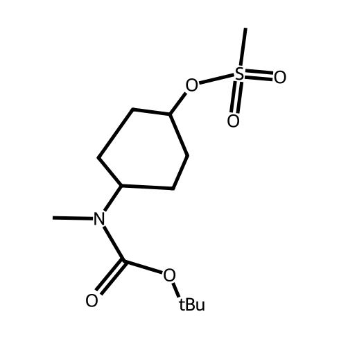 CN(C(=O)OC(C)(C)C)C1CCC(OS(C)(=O)=O)CC1